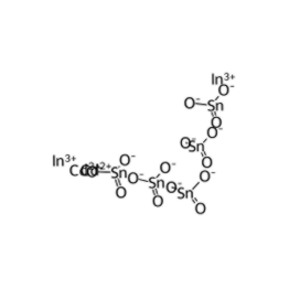 [Cd+2].[Cd+2].[In+3].[In+3].[O]=[Sn]([O-])[O-].[O]=[Sn]([O-])[O-].[O]=[Sn]([O-])[O-].[O]=[Sn]([O-])[O-].[O]=[Sn]([O-])[O-]